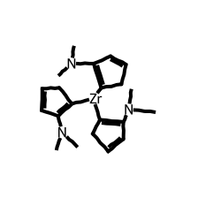 CN(C)C1=[C]([Zr]([C]2=C(N(C)C)C=CC2)[C]2=C(N(C)C)C=CC2)CC=C1